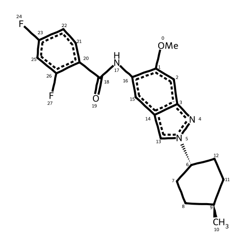 COc1cc2nn([C@H]3CC[C@H](C)CC3)cc2cc1NC(=O)c1ccc(F)cc1F